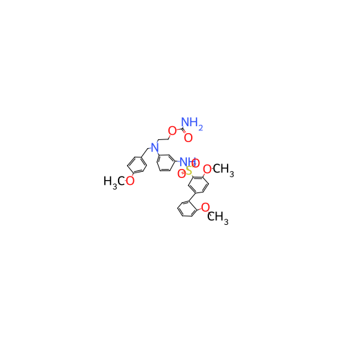 COc1ccc(CN(CCOC(N)=O)c2cccc(NS(=O)(=O)c3cc(-c4ccccc4OC)ccc3OC)c2)cc1